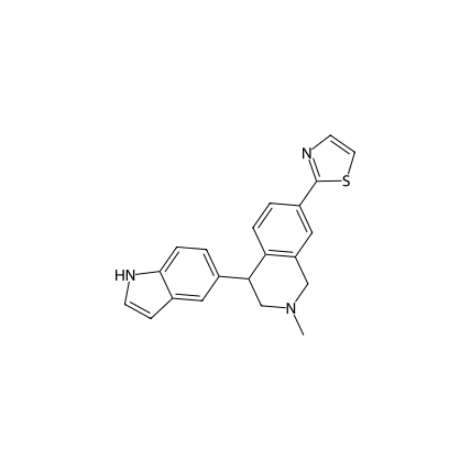 CN1Cc2cc(-c3nccs3)ccc2C(c2ccc3[nH]ccc3c2)C1